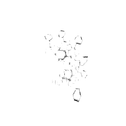 O=C(OC[C@H]1O[C@@H](OC[C@H]2O[C@@H](O)[C@H](OC(=O)c3ccccc3)[C@@H](OC(=O)c3ccccc3)[C@@H]2O)[C@H](OC(=O)c2ccccc2)[C@@H](OC(=O)c2ccccc2)[C@@H]1OC(=O)c1ccccc1)c1ccccc1